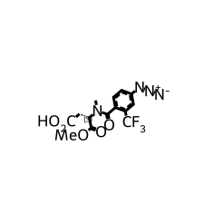 COC(=O)[C@H](CC(=O)O)N(C)C(=O)c1ccc(N=[N+]=[N-])cc1C(F)(F)F